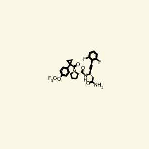 NC(=O)C[C@@H](C#Cc1c(F)cccc1F)NC(=O)[C@@H]1CCCN1C(=O)C1(c2ccc(OC(F)(F)F)cc2)CC1